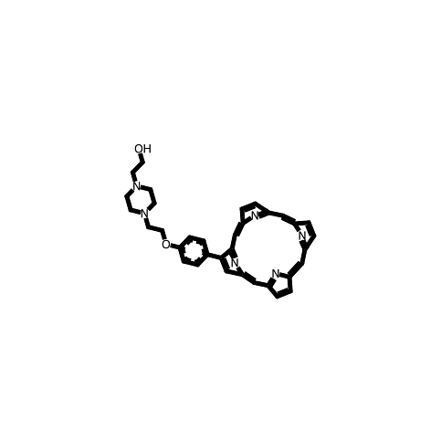 OCCN1CCN(CCOc2ccc(C3=CC4=CC5=NC(=CC6=NC(=CC7=NC(=CC3=N4)C=C7)C=C6)C=C5)cc2)CC1